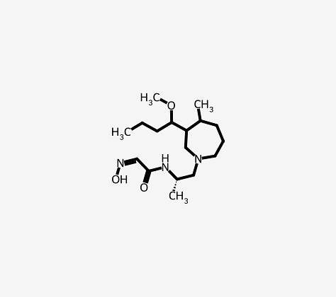 CCCC(OC)C1CN(C[C@H](C)NC(=O)/C=N\O)CCCC1C